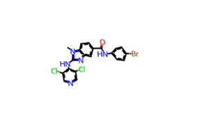 Cn1c(Nc2c(Cl)cncc2Cl)nc2cc(C(=O)Nc3ccc(Br)cc3)ccc21